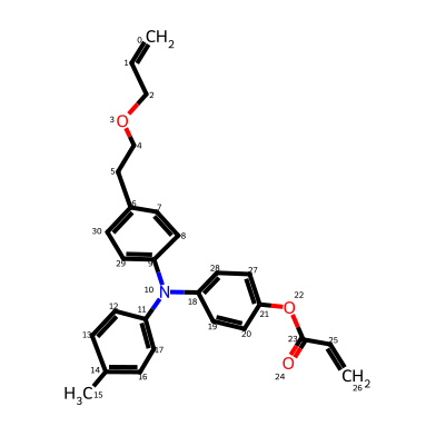 C=CCOCCc1ccc(N(c2ccc(C)cc2)c2ccc(OC(=O)C=C)cc2)cc1